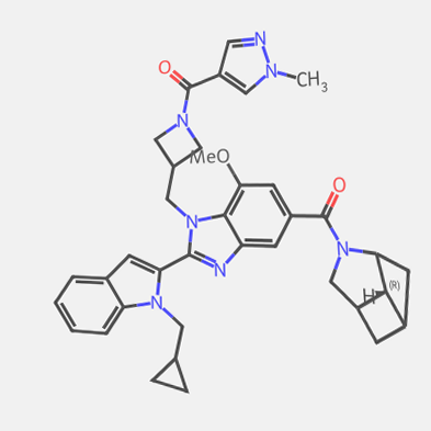 COc1cc(C(=O)N2CC3CC4CC2[C@H]43)cc2nc(-c3cc4ccccc4n3CC3CC3)n(CC3CN(C(=O)c4cnn(C)c4)C3)c12